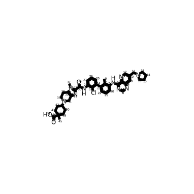 Cc1c(Nc2ncnc3cc(CN4CCCC4)cnc23)cccc1-c1cccc(NC(=O)c2nc3c(n2C)CCN(C2CCC(C)(C(=O)O)CC2)C3)c1Cl